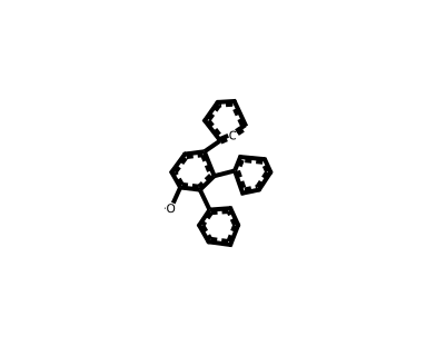 [O]c1ccc(-c2ccccc2)c(-c2ccccc2)c1-c1ccccc1